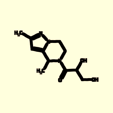 Cc1cc2n(n1)CCN(C(=O)C(O)CO)C2C